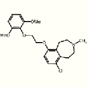 COc1cccc(OC)c1OCCOc1ccc(Cl)c2c1CCN(C)CC2